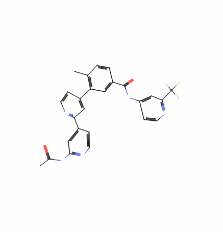 CC(=O)Nc1cc(-c2cc(-c3cc(C(=O)Nc4ccnc(C(F)(F)F)c4)ccc3C)ccn2)ccn1